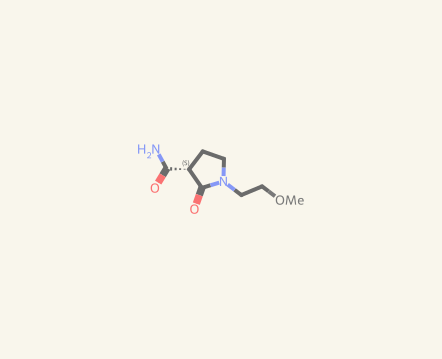 COCCN1CC[C@@H](C(N)=O)C1=O